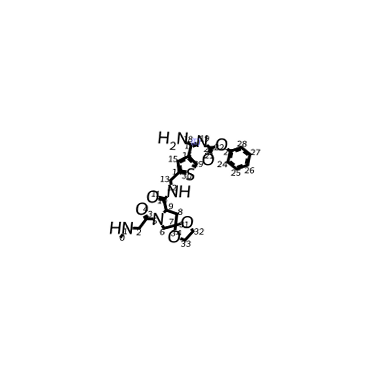 CNCC(=O)N1CC2(CC1C(=O)NCc1cc(/C(N)=N\C(=O)Oc3ccccc3)cs1)OCCO2